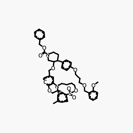 COc1ccccc1COCCCOc1ccc(C2CCN(C(=O)OCc3ccccc3)CC2OCc2ccc3c(c2)N(CCCCOS(=O)(=O)c2ccc(C)cc2)C(=O)CO3)cc1